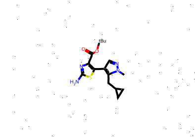 Cn1ncc(-c2sc(N)nc2C(=O)OC(C)(C)C)c1CC1CC1